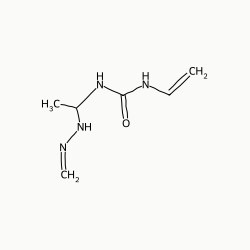 C=CNC(=O)NC(C)NN=C